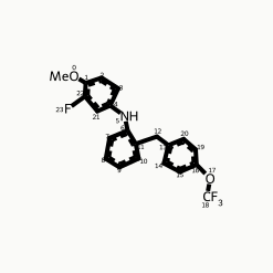 COc1ccc(Nc2ccccc2Cc2ccc(OC(F)(F)F)cc2)cc1F